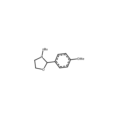 CCCCN1CCOC1c1ccc(OC)cc1